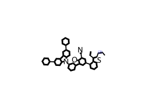 C=Cc1c(/C=C\C)sc2cccc(-c3cc(C#N)c4oc5c(-n6c7ccc(-c8ccccc8)cc7c7cc(-c8ccccc8)ccc76)cccc5c4c3)c12